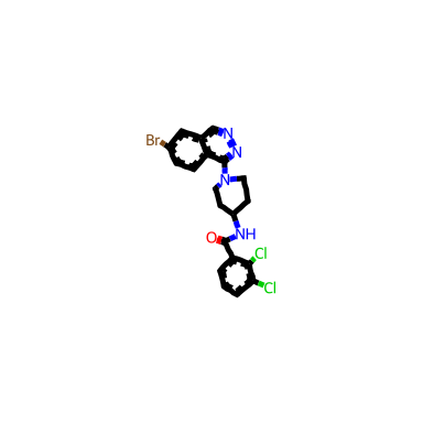 O=C(NC1CCN(c2nncc3cc(Br)ccc23)CC1)c1cccc(Cl)c1Cl